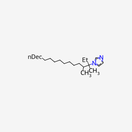 CCCCCCCCCCCCCCCCCCC(C)C(C)(CC)n1ccnc1